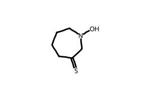 ON1CCCCC(=S)C1